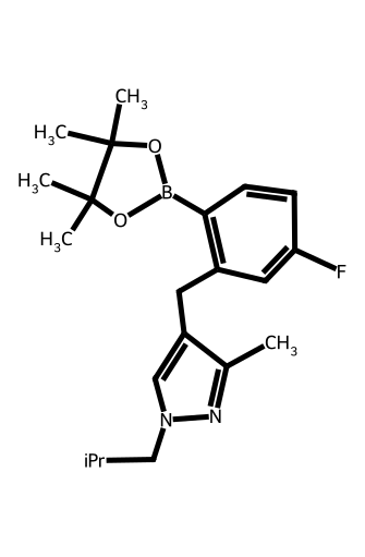 Cc1nn(CC(C)C)cc1Cc1cc(F)ccc1B1OC(C)(C)C(C)(C)O1